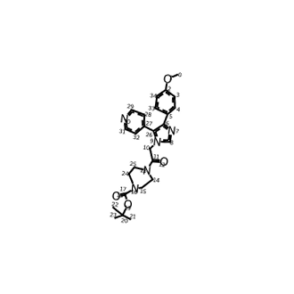 COc1ccc(-c2ncn(CC(=O)N3CCN(C(=O)OC(C)(C)C)CC3)c2-c2ccncc2)cc1